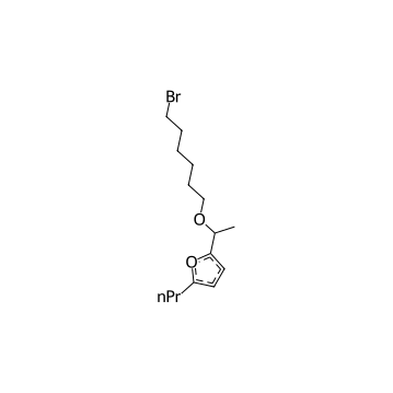 CCCc1ccc(C(C)OCCCCCCBr)o1